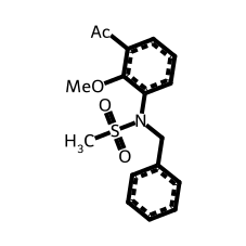 COc1c(C(C)=O)cccc1N(Cc1ccccc1)S(C)(=O)=O